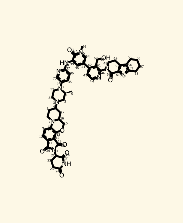 C[C@H]1CN(C2CCN3c4ccc5c(c4OCC3C2)C(=O)N(C2CCC(=O)NC2=O)C5=O)CCN1c1ccc(Nc2cc(-c3ccnc(N4CCc5c(sc6c5CCCC6)C4=O)c3CO)cn(C)c2=O)nc1